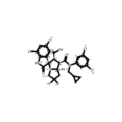 O=C(O)[C@H]1[C@@H](C(=O)N(CC2CC2)c2cc(Cl)cc(Cl)c2)[C@H]2CC(F)(F)CN2[C@]12C(=O)Nc1c(Cl)cc(Cl)cc12